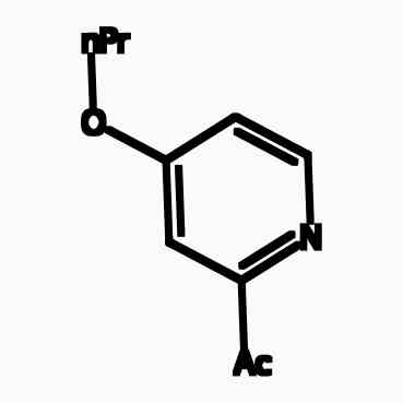 CCCOc1ccnc(C(C)=O)c1